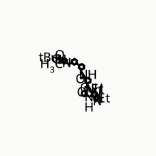 CCc1nc2c(cnn2CC)c(NC2CCOCC2)c1CNC(=O)c1cccc(C(=O)NCc2cccc(-c3cccc(CN4CCN(C(=O)OC(C)(C)C)C(C)C4)c3)c2)c1